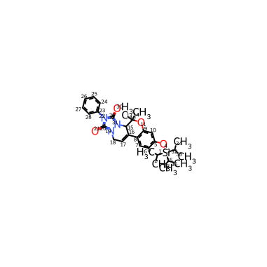 CC(C)[Si](Oc1ccc2c(c1)OC(C)(C)C1C2=CCn2c(=O)n(-c3ccccc3)c(=O)n21)(C(C)C)C(C)C